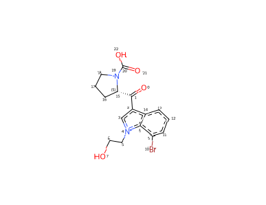 O=C(c1cn(CCO)c2c(Br)cccc12)[C@@H]1CCCN1C(=O)O